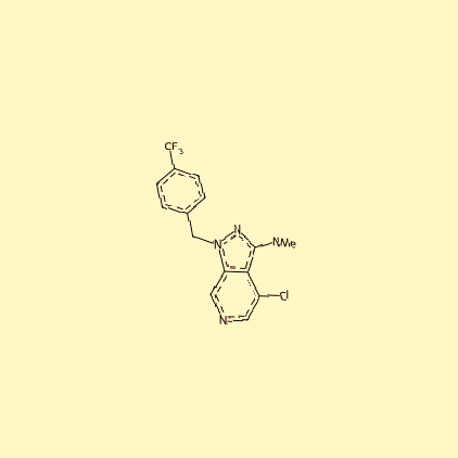 CNc1nn(Cc2ccc(C(F)(F)F)cc2)c2cncc(Cl)c12